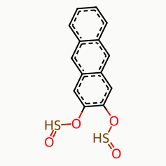 O=[SH]Oc1cc2cc3ccccc3cc2cc1O[SH]=O